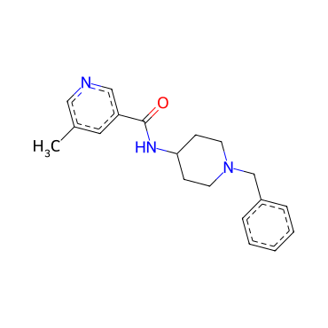 Cc1cncc(C(=O)NC2CCN(Cc3ccccc3)CC2)c1